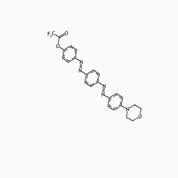 O=C(Oc1ccc(N=Nc2ccc(N=Nc3ccc(N4CCOCC4)cc3)cc2)cc1)C(F)(F)F